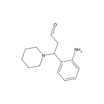 Nc1ccccc1C(CC=O)N1CCCCC1